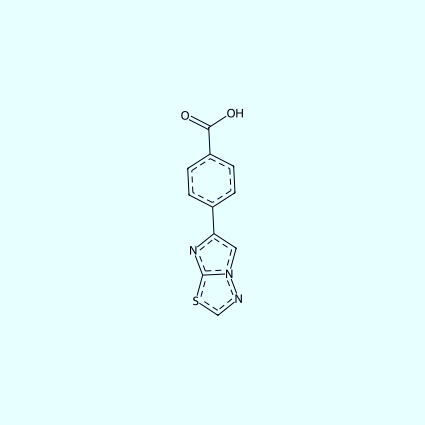 O=C(O)c1ccc(-c2cn3ncsc3n2)cc1